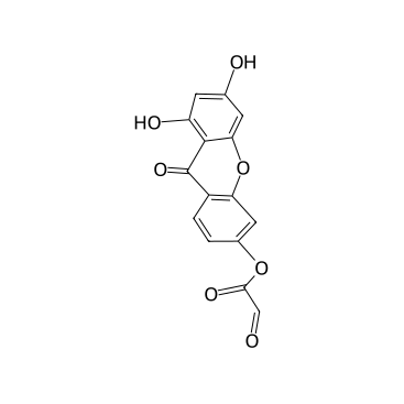 O=CC(=O)Oc1ccc2c(=O)c3c(O)cc(O)cc3oc2c1